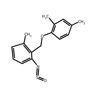 Cc1ccc(OCc2c(C)cccc2N=S=O)c(C)c1